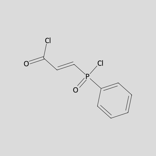 O=C(Cl)/C=C/P(=O)(Cl)c1ccccc1